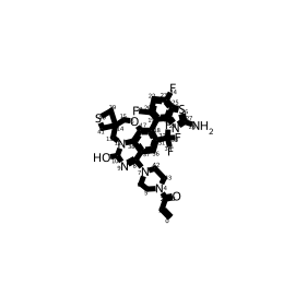 C=CC(=O)N1CCN(C2=NC(O)N3CC4(COc5c(-c6c(F)cc(F)c7sc(N)nc67)c(C(F)(F)F)cc2c53)CSC4)CC1